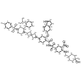 Cc1ccc(S(=O)(=O)N2CCN(C3CC4(C3)CN(c3ccc(C(=O)NS(=O)(=O)c5ccc(NCC6CCC(C)(O)CC6)c([N+](=O)[O-])c5)c(Oc5cnc6[nH]ccc6c5)c3)C4)C(c3ccccc3C(C)C)C2)cc1